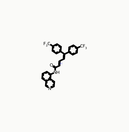 O=C(/C=C/C=C(c1ccc(C(F)(F)F)cc1)c1ccc(C(F)(F)F)cc1)Nc1cccc2cnccc12